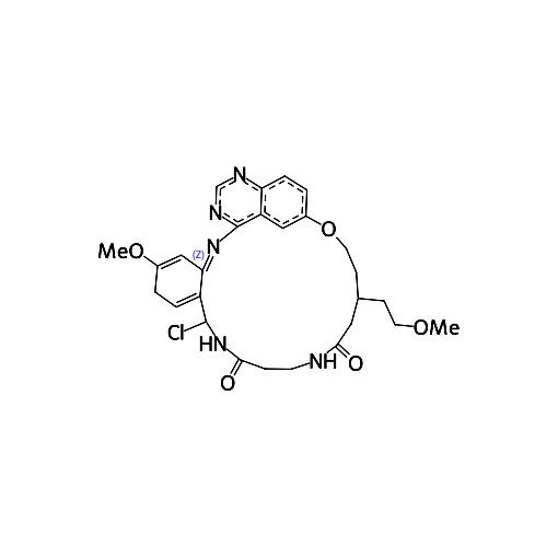 COCCC1CCOc2ccc3ncnc(c3c2)/N=C2/C=C(OC)CC=C2C(Cl)NC(=O)CCNC(=O)C1